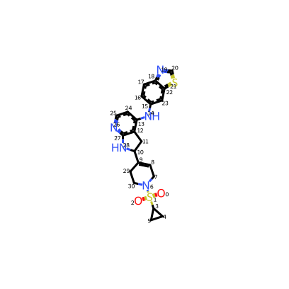 O=S(=O)(C1CC1)N1CC=C(C2Cc3c(Nc4ccc5ncsc5c4)ccnc3N2)CC1